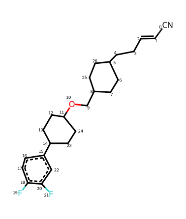 N#CC=CCCC1CCC(COC2CCC(c3ccc(F)c(F)c3)CC2)CC1